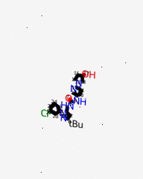 CC(C)(C)c1cc(CNC(=O)Nc2ccc(N3CCC(O)C3)nc2)n(-c2cccc(Cl)c2)n1